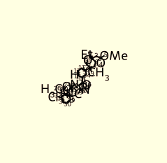 CCC1(CC(=O)OC)CCC(C)(c2cccc(-c3onc(C)c3NC(=O)O[C@H](C)c3ccccc3Cl)c2)CO1